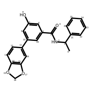 CC(NC(=O)c1cc(O)cc(-c2ccc3c(c2)OCO3)c1)c1ccccc1